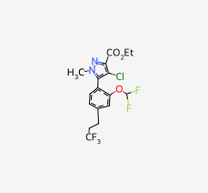 CCOC(=O)c1nn(C)c(-c2ccc(CCC(F)(F)F)cc2OC(F)F)c1Cl